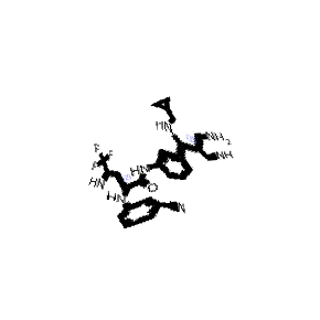 N#Cc1cccc(N/C(=C\C(=N)C(F)(F)F)C(=O)Nc2cccc(C(NCC3CC3)/C(C=N)=C/N)c2)c1